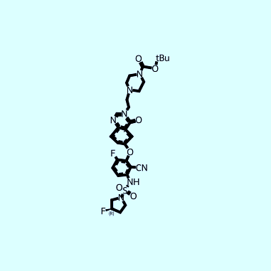 CC(C)(C)OC(=O)N1CCN(CCn2cnc3ccc(Oc4c(F)ccc(NS(=O)(=O)N5CC[C@@H](F)C5)c4C#N)cc3c2=O)CC1